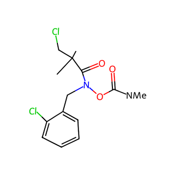 CNC(=O)ON(Cc1ccccc1Cl)C(=O)C(C)(C)CCl